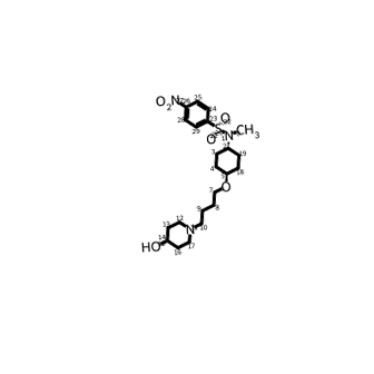 CN([C@H]1CC[C@H](OCCCCN2CCC(O)CC2)CC1)S(=O)(=O)c1ccc([N+](=O)[O-])cc1